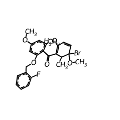 COc1cc(C)c(C(=O)C2=C(C)C=CC(Br)(OC)C2C)c(OCc2ccccc2F)c1